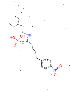 CCC(CC)CCNC(CCCCc1ccc([N+](=O)[O-])cc1)OP(=O)(O)O